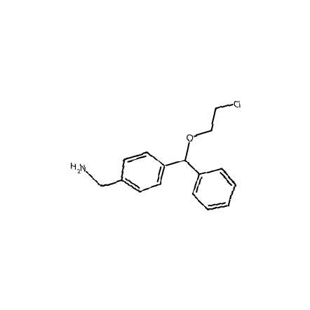 NCc1ccc(C(OCCCl)c2ccccc2)cc1